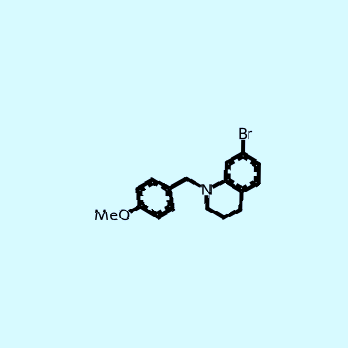 COc1ccc(CN2CCCc3ccc(Br)cc32)cc1